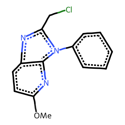 COc1ccc2nc(CCl)n(-c3ccccc3)c2n1